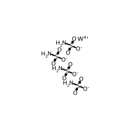 NS(=O)(=O)[O-].NS(=O)(=O)[O-].NS(=O)(=O)[O-].NS(=O)(=O)[O-].[W+4]